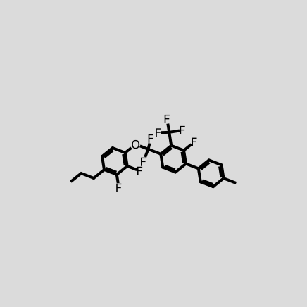 CCCc1ccc(OC(F)(F)c2ccc(-c3ccc(C)cc3)c(F)c2C(F)(F)F)c(F)c1F